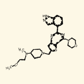 COCCN(C)C1CCN(Cc2cc3nc(-c4cccc5[nH]ncc45)nc(N4CCOCC4)c3s2)CC1